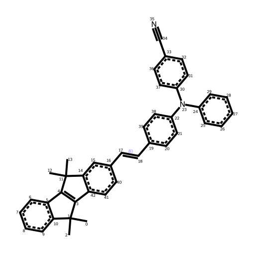 CC1(C)C2=C(c3ccccc31)C(C)(C)c1cc(/C=C/c3ccc(N(c4ccccc4)c4ccc(C#N)cc4)cc3)ccc12